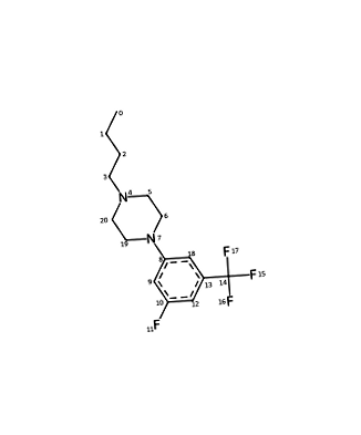 CCCCN1CCN(c2cc(F)cc(C(F)(F)F)c2)CC1